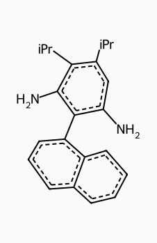 CC(C)c1cc(N)c(-c2cccc3ccccc23)c(N)c1C(C)C